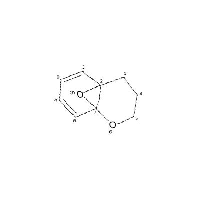 C1=CC23CCCOC2(C=C1)O3